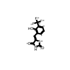 O=C1NC(=O)/C(=C/c2cccc(C(F)(F)F)c2O)S1